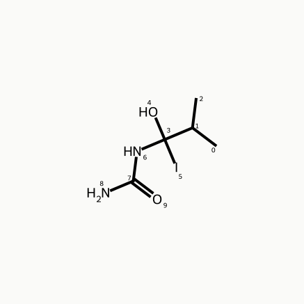 CC(C)C(O)(I)NC(N)=O